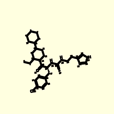 CCC1CC(C2CCCCC2)CCN1C(=O)[C@@H](Cc1ccc(Cl)cc1)NC(=S)NCCc1c[nH]cn1